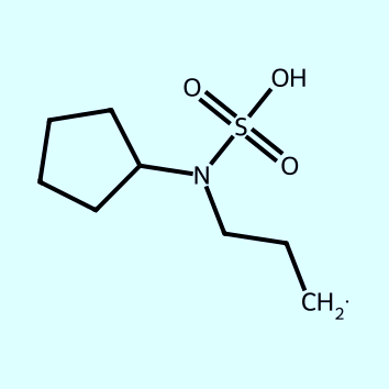 [CH2]CCN(C1CCCC1)S(=O)(=O)O